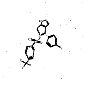 O=S(=O)(c1ccc(C(F)(F)F)cc1)N1Cc2[nH]ncc2[C@@H]1c1ccc(F)cc1